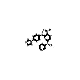 CN(c1cccnc1)c1ccc([N+](=O)[O-])c(Nc2ccc(-n3ccnc3)cc2)n1